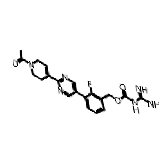 CC(=O)N1CC=C(c2ncc(-c3cccc(COC(=O)NC(=N)N)c3F)cn2)CC1